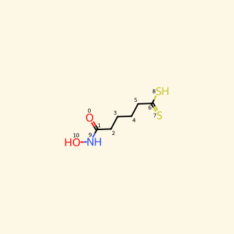 O=C(CCCCC(=S)S)NO